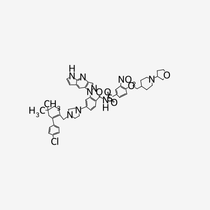 CC1(C)CCC(CN2CCN(c3ccc(C(=O)NS(=O)(=O)c4ccc(OCC5CCN(C6CCOC6)CC5)c([N+](=O)[O-])c4)c(-n4ncc5nc6[nH]ccc6cc54)c3)CC2)=C(c2ccc(Cl)cc2)C1